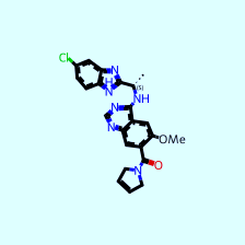 COc1cc2c(N[C@@H](C)c3nc4cc(Cl)ccc4[nH]3)ncnc2cc1C(=O)N1CC=CC1